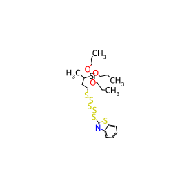 CCCO[Si](OCCC)(OCCC)C(C)CCSSSSSc1nc2ccccc2s1